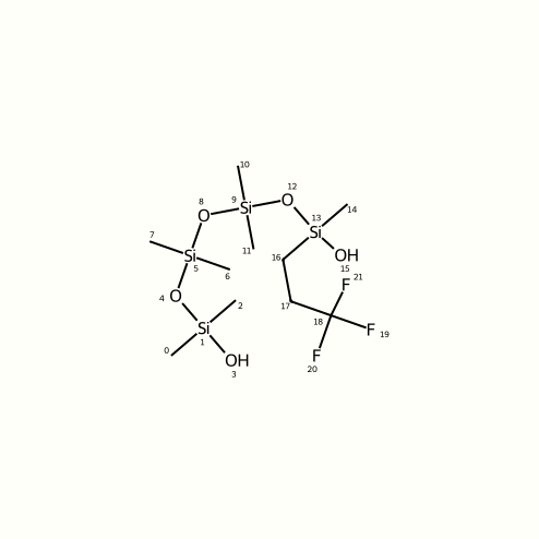 C[Si](C)(O)O[Si](C)(C)O[Si](C)(C)O[Si](C)(O)CCC(F)(F)F